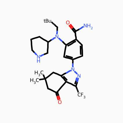 CC(C)(C)CN(c1cc(-n2nc(C(F)(F)F)c3c2CC(C)(C)CC3=O)ccc1C(N)=O)C1CCCNC1